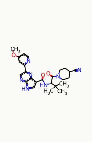 COc1ccnc(-c2cnc3[nH]cc(C(=O)N[C@@H](C(=O)N4CCC(C#N)CC4)C(C)(C)C)c3n2)c1